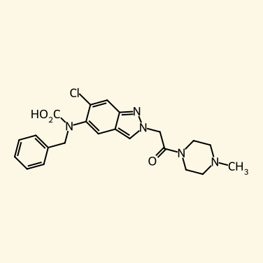 CN1CCN(C(=O)Cn2cc3cc(N(Cc4ccccc4)C(=O)O)c(Cl)cc3n2)CC1